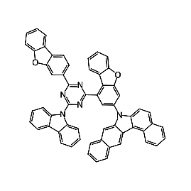 c1ccc2cc3c(cc2c1)c1c2ccccc2ccc1n3-c1cc(-c2nc(-c3ccc4c(c3)oc3ccccc34)nc(-n3c4ccccc4c4ccccc43)n2)c2c(c1)oc1ccccc12